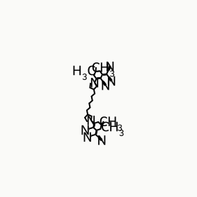 CC1(C)CC(=C(C#N)C#N)C(C#N)=C(N2CCC(CCCCCCC3CCN(C4=C(C#N)C(=C(C#N)C#N)CC(C)(C)C4)C3)C2)C1